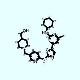 Cc1cc(-c2cnc(Nc3ccc(CN4CCC(CO)CC4)cn3)s2)nc(NC2CCCCC2)n1